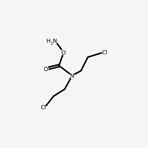 NOC(=O)N(CCCl)CCCl